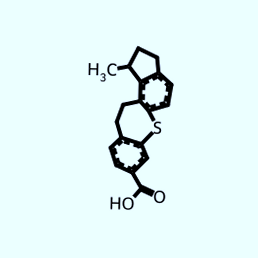 CC1CCc2ccc3c(c21)CCc1ccc(C(=O)O)cc1S3